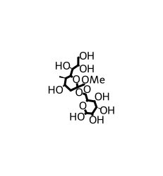 COC(=O)[C@@]1(OCC2OC(O)C(O)[C@@H](O)[C@@H]2O)C[C@@H](O)[C@@H](C)C([C@H](O)[C@H](O)CO)O1